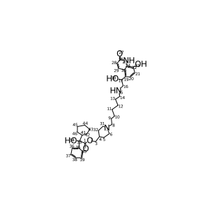 O=C(OCC1CCN(CCCCCCCNCC(O)c2ccc(O)c3[nH]c(=O)ccc23)CC1)C(O)(c1ccccc1)C1CCCCC1